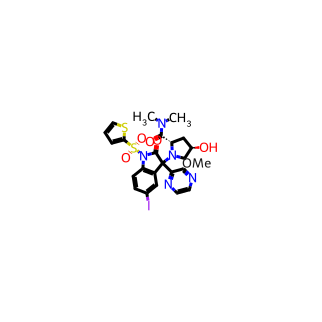 COc1nccnc1C1(N2C[C@H](O)C[C@H]2C(=O)N(C)C)C(=O)N(S(=O)(=O)c2cccs2)c2ccc(I)cc21